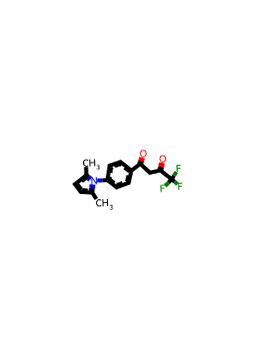 Cc1ccc(C)n1-c1ccc(C(=O)CC(=O)C(F)(F)F)cc1